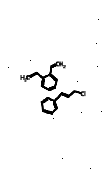 C=Cc1ccccc1C=C.ClCC=Cc1ccccc1